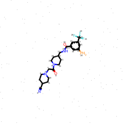 N#CC1CCN(CC(=O)N2CCC(CNC(=O)c3cc(P)cc(C(F)(F)F)c3)CC2)CC1